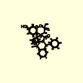 CC(=O)c1ccccc1C(c1ccccc1)N1C(=O)C2(CC(C)(C)Oc3cc(O)ccc32)c2ccccc21